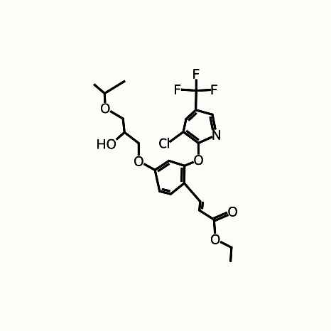 CCOC(=O)/C=C/c1ccc(OCC(O)COC(C)C)cc1Oc1ncc(C(F)(F)F)cc1Cl